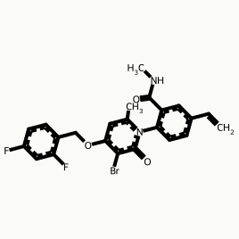 C=Cc1ccc(-n2c(C)cc(OCc3ccc(F)cc3F)c(Br)c2=O)c(C(=O)NC)c1